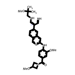 COc1cc(C(=O)N2CC(OC)C2)ccc1Nc1cc2cc(/C(C=N)=C/NCC(C)(C)OC)ccc2cn1